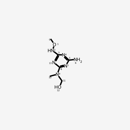 CONc1nc(N)nc(N(C)CO)n1